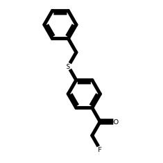 O=C(CF)c1ccc(SCc2ccccc2)cc1